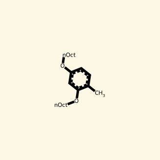 CCCCCCCCOc1ccc(C)c(OCCCCCCCC)c1